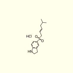 CC(C)CC=CCS(=O)(=O)c1ccc2c(c1)CCN2.Cl